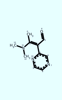 C/C(=C(\C=O)c1cnccn1)N(C)C